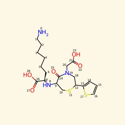 NCCCCCC[C@@H](NC1CSC(c2cccs2)CN(CC(=O)O)C1=O)C(=O)O